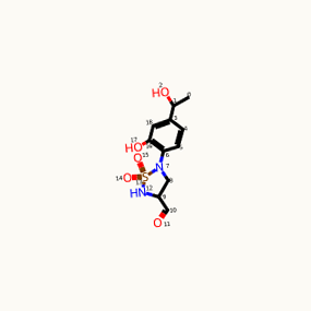 CC(O)c1ccc(N2CC(C=O)NS2(=O)=O)c(O)c1